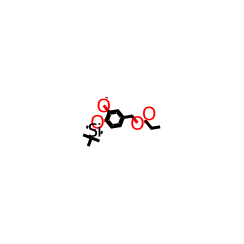 CCC(=O)OCc1ccc(O[Si](C)(C)C(C)(C)C)c(OC)c1